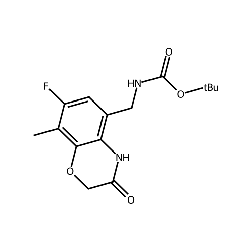 Cc1c(F)cc(CNC(=O)OC(C)(C)C)c2c1OCC(=O)N2